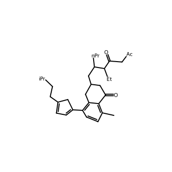 CCCC(CC1CC(=O)c2c(C)ccc(C3=CC=C(CCC(C)C)C3)c2C1)C(CC)C(=O)CC(C)=O